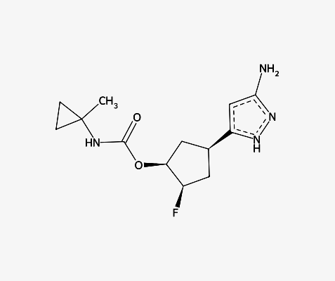 CC1(NC(=O)O[C@H]2C[C@@H](c3cc(N)n[nH]3)C[C@H]2F)CC1